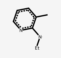 CC[N]c1ncccc1C